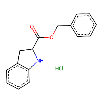 Cl.O=C(OCc1ccccc1)C1Cc2ccccc2N1